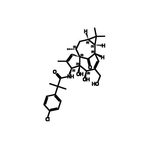 CC1=C[C@]23C(=O)[C@@H](C=C(CO)[C@@H](O)[C@]2(O)[C@H]1NC(=O)C(C)(C)c1ccc(Cl)cc1)[C@H]1[C@@H](C[C@H]3C)C1(C)C